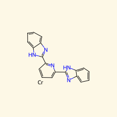 [Cr].c1cc(-c2nc3ccccc3[nH]2)nc(-c2nc3ccccc3[nH]2)c1